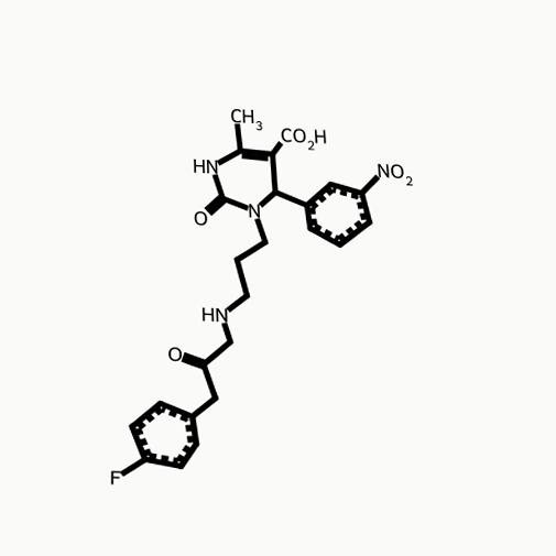 CC1=C(C(=O)O)C(c2cccc([N+](=O)[O-])c2)N(CCCNCC(=O)Cc2ccc(F)cc2)C(=O)N1